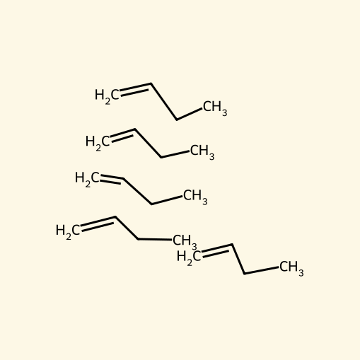 C=CCC.C=CCC.C=CCC.C=CCC.C=CCC